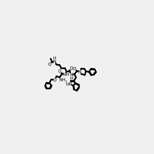 CC(=O)NCCCCC(NC(=O)C(N)COCc1ccccc1)C(=O)NC(Cc1c[nH]c2ccccc12)C(=O)N1CCC(c2ccccc2)CC1